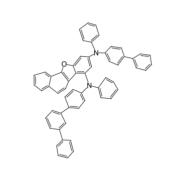 c1ccc(-c2ccc(N(c3ccccc3)c3cc(N(c4ccccc4)c4ccc(-c5cccc(-c6ccccc6)c5)cc4)c4c(c3)oc3c5ccccc5ccc34)cc2)cc1